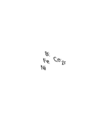 [B].[Co].[Fe].[Ni].[Zr]